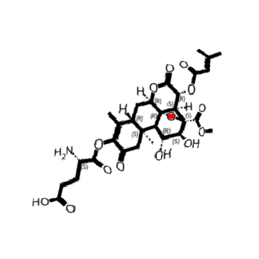 COC(=O)[C@@]12OC[C@]34C([C@@H](O)[C@@H]1O)[C@@]1(C)CC(=O)C(OC(=O)[C@@H](N)CCC(=O)O)=C(C)[C@@H]1C[C@H]3OC(=O)[C@H](OC(=O)C=C(C)C)[C@@H]24